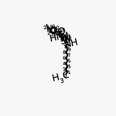 CCCCCCCCCCCNc1nnc(NC(=O)c2ccc(I)cc2)s1